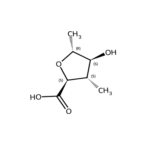 C[C@H]1[C@H](O)[C@@H](C)O[C@@H]1C(=O)O